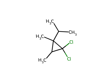 CC(C)C1(C)C(C)C1(Cl)Cl